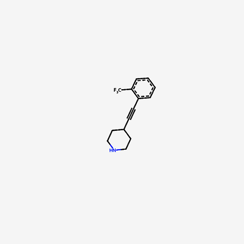 FC(F)(F)c1ccccc1C#CC1CCNCC1